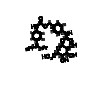 CCCN(CCC)c1ccc(NC(=O)OCc2ccc(NC(=O)OC3OC(C(=O)O)C(O)C(O)C3O)cc2)cc1